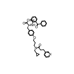 COC(=O)[C@H](Cc1ccc(OCCCN(CC2CC2)C(=O)CCc2cccnc2)cc1)Nc1ccccc1C(=O)c1ccccc1